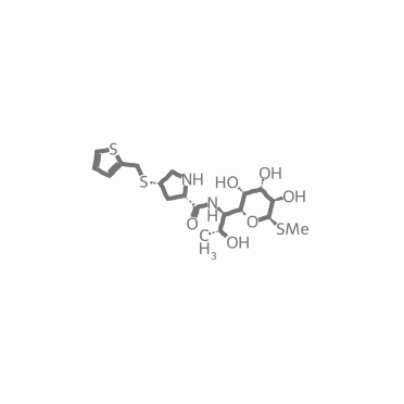 CS[C@H]1O[C@H]([C@H](NC(=O)[C@@H]2C[C@H](SCc3cccs3)CN2)[C@@H](C)O)[C@H](O)[C@H](O)[C@H]1O